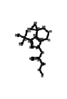 CCOC(=O)Cn1nc(C(F)(F)F)c2c1CCCC21CC1